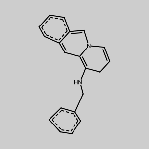 C1=CN2C=c3ccccc3=CC2=C(NCc2ccccc2)C1